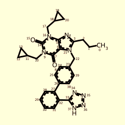 CCCc1nc2c(c(=O)n(CC3CC3)c(=O)n2CC2CC2)n1Cc1ccc(-c2ccccc2-c2nnn[nH]2)cc1